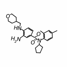 Cc1ccc(N(C2CCCC2)S(=O)(=O)c2ccc(NCC3CCOCC3)c(N)c2)c(C)c1